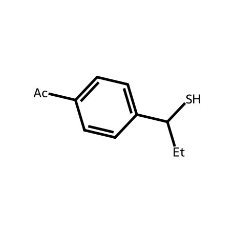 CCC(S)c1ccc(C(C)=O)cc1